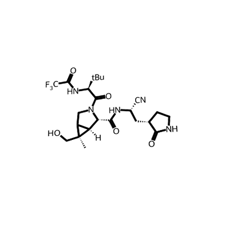 CC(C)(C)[C@H](NC(=O)C(F)(F)F)C(=O)N1CC2[C@@H]([C@H]1C(=O)N[C@H](C#N)C[C@@H]1CCNC1=O)[C@@]2(C)CO